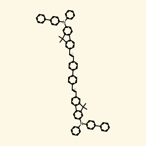 CC1(C)c2cc(/C=C/c3ccc(-c4ccc(/C=C/c5ccc6c(c5)C(C)(C)c5cc(N(c7ccccc7)c7ccc(-c8ccccc8)cc7)ccc5-6)cc4)cc3)ccc2-c2ccc(N(c3ccccc3)c3ccc(-c4ccccc4)cc3)cc21